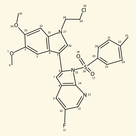 COc1cc2c(-c3cc4cc(F)cnc4n3S(=O)(=O)c3ccc(C)cc3)cn(CCCl)c2cc1OC